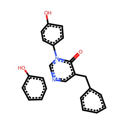 O=c1c(Cc2ccccc2)cncn1-c1ccc(O)cc1.Oc1ccccc1